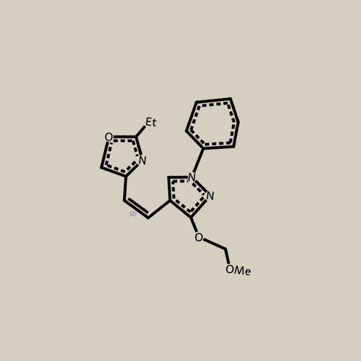 CCc1nc(/C=C\c2cn(-c3ccccc3)nc2OCOC)co1